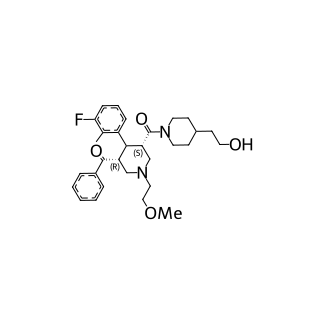 COCCN1C[C@H](C(=O)c2ccccc2)C(c2cccc(F)c2C)[C@H](C(=O)N2CCC(CCO)CC2)C1